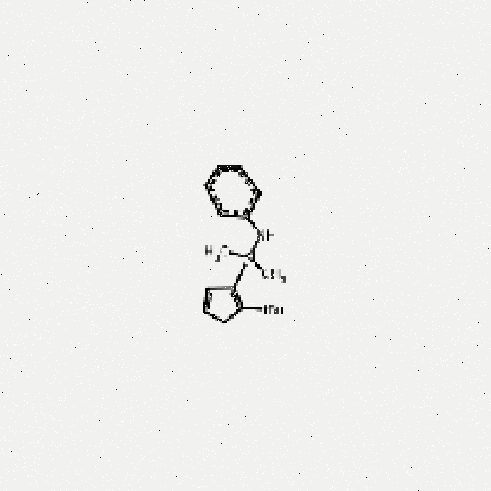 CC(C)(C)C1=C([Si](C)(C)Nc2ccccc2)C=CC1